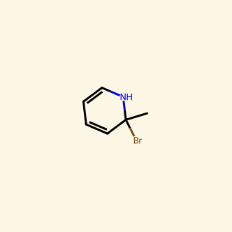 CC1(Br)C=CC=CN1